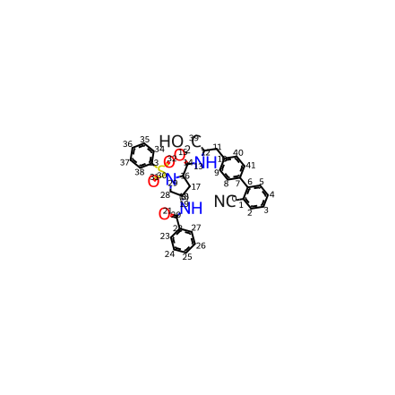 N#Cc1ccccc1-c1ccc(CC(NC(=O)C2C[C@H](NC(=O)c3ccccc3)CN2S(=O)(=O)c2ccccc2)C(=O)O)cc1